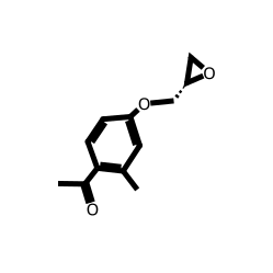 CC(=O)c1ccc(OC[C@@H]2CO2)cc1C